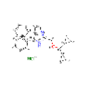 C[C@@]1(c2ccccc2)N=C(COC(C2CC2)C2CC2)N[C@@H]1c1ccccc1.Cl